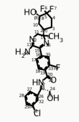 CC1([C@@H]2CCC(F)(F)[C@H](O)C2)CN=C(N)C(c2ccc(C(=O)N[C@H](CO)c3cccc(Cl)c3)c(F)c2)=N1